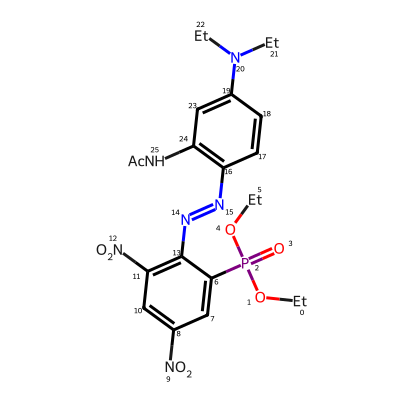 CCOP(=O)(OCC)c1cc([N+](=O)[O-])cc([N+](=O)[O-])c1N=Nc1ccc(N(CC)CC)cc1NC(C)=O